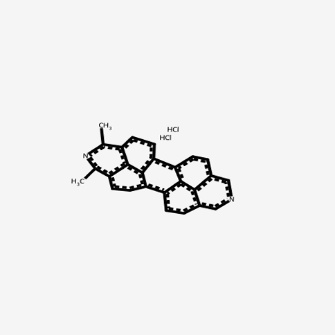 Cc1nc(C)c2ccc3c4ccc5cncc6ccc(c7ccc1c2c73)c4c65.Cl.Cl